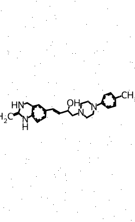 C=C1NCc2cc(/C=C/[C@@H](O)CN3CCN(c4ccc(C)cc4)CC3)ccc2N1